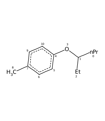 CCCC(CC)Oc1ccc(C)cc1